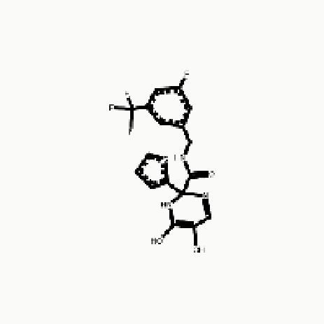 O=C(NCc1cc(F)cc(C(F)(F)F)c1)C1(c2cccs2)N=CC(O)=C(O)N1